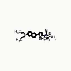 CCCN(CCC)c1ccc2cc(-c3ccc(/C(C)=C(\C#N)S(N)(=O)=O)n3C)ccc2c1